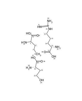 CCCC(N)C(=O)O.N=C(N)NCCC[C@H](N)C(=O)O.N[C@@H](CCO)C(=O)O